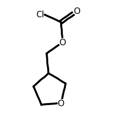 O=C(Cl)OCC1CCOC1